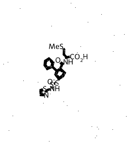 CSCCC(NC(=O)c1ccc(S[S+]([O-])Nc2nccs2)cc1-c1ccccc1)C(=O)O